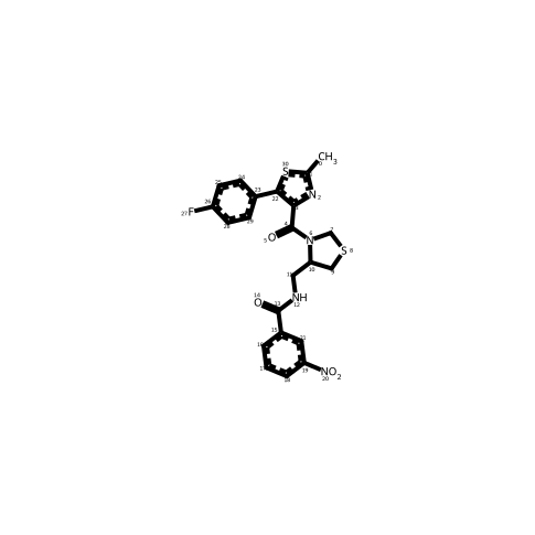 Cc1nc(C(=O)N2CSCC2CNC(=O)c2cccc([N+](=O)[O-])c2)c(-c2ccc(F)cc2)s1